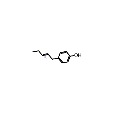 CC/C=C/Cc1ccc(O)cc1